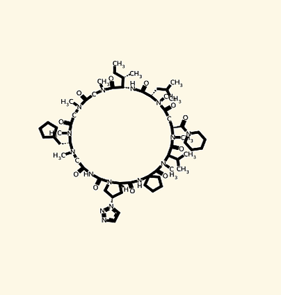 CC[C@H](C)[C@@H]1NC(=O)[C@H](CC(C)C)N(C)C(=O)C[C@@H](C(=O)N2CCCCC2)N(C)C(=O)C(C(C)C)N(C)C(=O)C2(CCCC2)NC(=O)[C@@H]2C[C@H](n3ccnn3)CN2C(=O)NC(=O)CN(C)[C@H](CC2CCCC2)N(C)C(=O)CN(C)C(=O)CN(C)C1=O